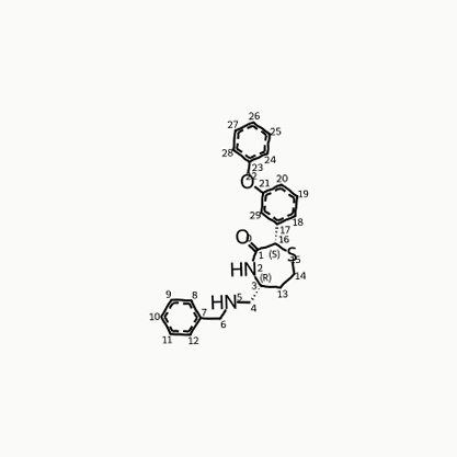 O=C1N[C@@H](CNCc2ccccc2)CCS[C@H]1c1cccc(Oc2ccccc2)c1